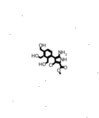 COC(=O)c1[nH]c(N)c(-c2ccc(CO)c(CO)c2CO)c1Cl